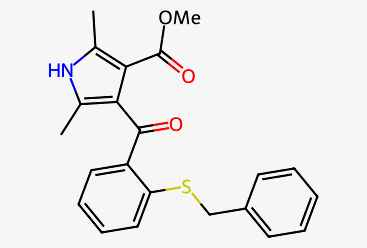 COC(=O)c1c(C)[nH]c(C)c1C(=O)c1ccccc1SCc1ccccc1